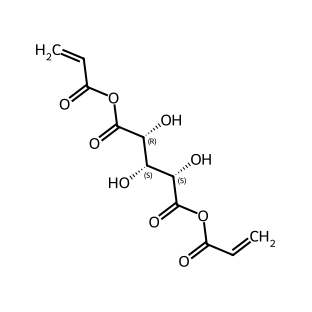 C=CC(=O)OC(=O)[C@@H](O)[C@H](O)[C@@H](O)C(=O)OC(=O)C=C